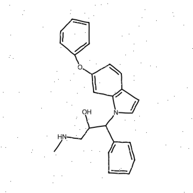 CNCC(O)C(c1ccccc1)n1ccc2ccc(Oc3ccccc3)cc21